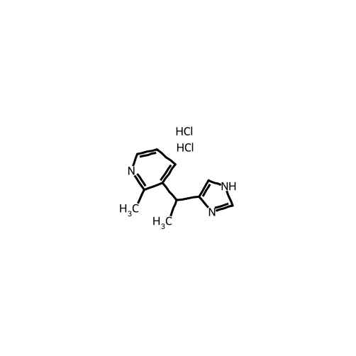 Cc1ncccc1C(C)c1c[nH]cn1.Cl.Cl